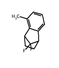 Cc1cccc2c1C1CCC2C1(F)F